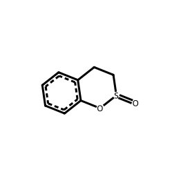 O=S1CCc2ccccc2O1